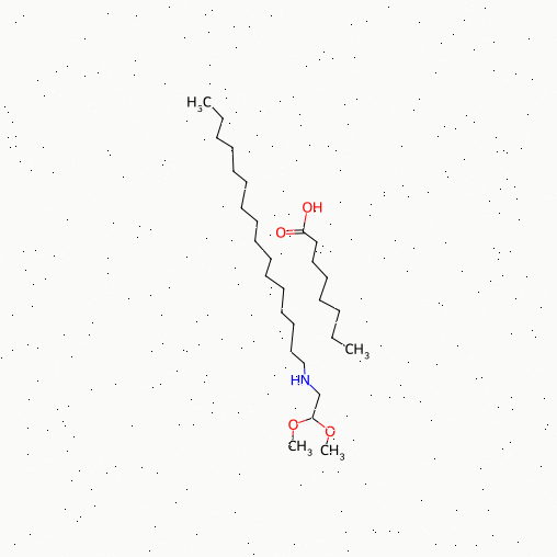 CCCCCCCC(=O)O.CCCCCCCCCCCCCCCCNCC(OC)OC